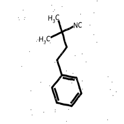 [C-]#[N+]C(C)(C)CCc1ccccc1